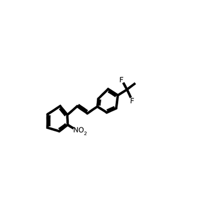 CC(F)(F)c1ccc(C=Cc2ccccc2[N+](=O)[O-])cc1